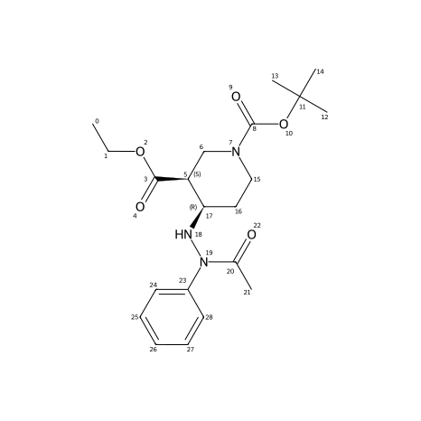 CCOC(=O)[C@H]1CN(C(=O)OC(C)(C)C)CC[C@H]1NN(C(C)=O)c1ccccc1